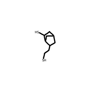 SCCC1CC2CC(S)C1C2